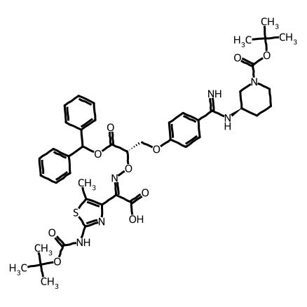 Cc1sc(NC(=O)OC(C)(C)C)nc1/C(=N/O[C@@H](COc1ccc(C(=N)N[C@@H]2CCCN(C(=O)OC(C)(C)C)C2)cc1)C(=O)OC(c1ccccc1)c1ccccc1)C(=O)O